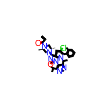 C=CC(=O)N1C[C@H](C)N(c2nc(=O)n(-c3c(CC)ncnc3C(C)C)c3nc(-c4ccccc4C)c(Cl)cc23)C[C@H]1C